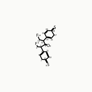 O=C(C(CF)C1=CCC(=S)C=C1)C(CF)C1=CCC(=S)C=C1